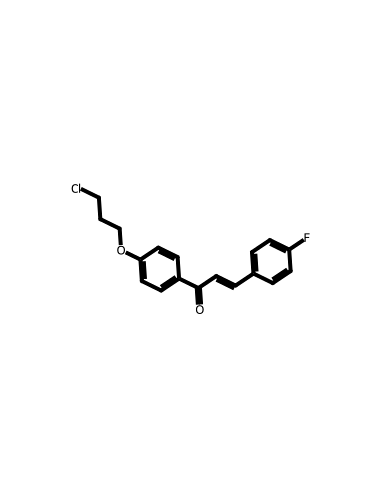 O=C(/C=C/c1ccc(F)cc1)c1ccc(OCCCCl)cc1